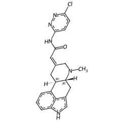 CN1CC(=CC(=O)Nc2ccc(Cl)nn2)C[C@@H]2c3cccc4[nH]cc(c34)C[C@H]21